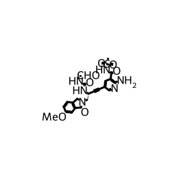 COc1ccc2c(c1)C(=O)N(C[C@@H](C#Cc1cnc(N)c(C(=O)NS(C)(=O)=O)c1)NC(=O)NC=O)C2